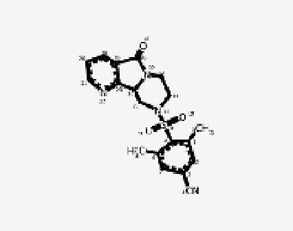 Cc1cc(C#N)cc(C)c1S(=O)(=O)N1CCN2C(=O)c3cccnc3C2C1